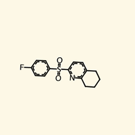 O=S(=O)(c1ccc(F)cc1)c1ccc2c(n1)CCCC2